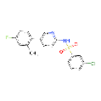 Cc1cc(F)ccc1-c1ccc(NS(=O)(=O)c2cccc(Cl)c2)nc1